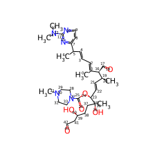 C/C(=C\C=C\C(C)c1ccnc(N(C)C)n1)[C@@H](C=O)[C@@H](C)/C=C/[C@H](OC(=O)N1CCN(C)CC1)[C@@](C)(O)CC[C@H](O)CC=O